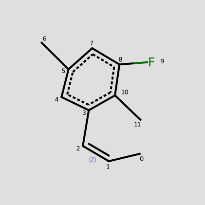 C/C=C\c1cc(C)cc(F)c1C